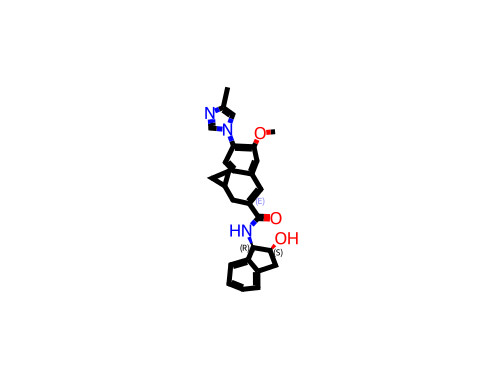 COc1cc(/C=C(\CC2CC2)C(=O)N[C@@H]2c3ccccc3C[C@@H]2O)ccc1-n1cnc(C)c1